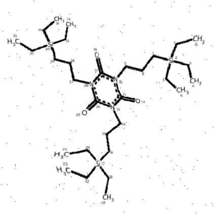 CC[Si](CC)(CC)CCCn1c(=O)n(CCC[Si](CC)(CC)CC)c(=O)n(CCC[Si](CC)(CC)CC)c1=O